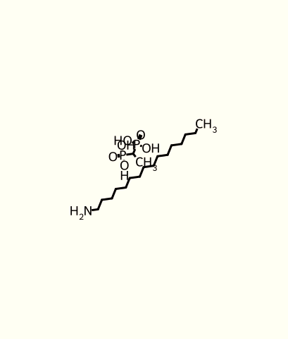 CC(P(=O)(O)O)P(=O)(O)O.CCCCCCCCCCCCCCCCN